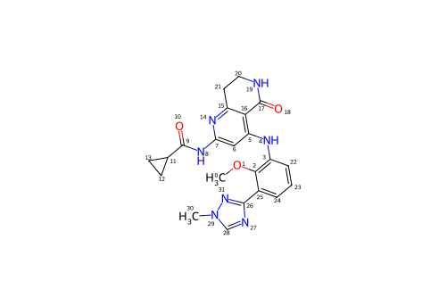 COc1c(Nc2cc(NC(=O)C3CC3)nc3c2C(=O)NCC3)cccc1-c1ncn(C)n1